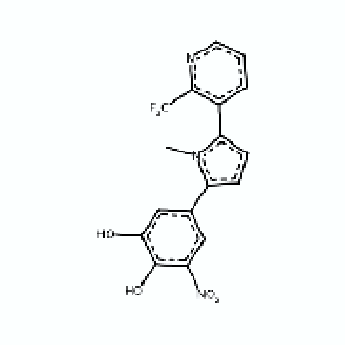 Cn1c(-c2cc(O)c(O)c([N+](=O)[O-])c2)ccc1-c1cccnc1C(F)(F)F